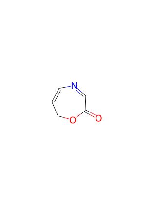 O=C1C=NC=CCO1